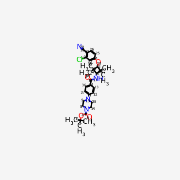 CC(C)(C)OC(=O)N1CCN(c2ccc(C(=O)NC3C(C)(C)C(Oc4ccc(C#N)c(Cl)c4)C3(C)C)cc2)CC1